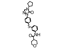 O=C(Nc1cccc(Sc2ccc(-n3ncn(C4CCCC4)c3=O)cc2)c1)C1CCOCC1